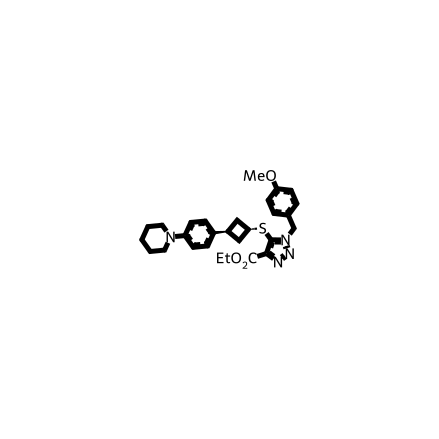 CCOC(=O)c1nnn(Cc2ccc(OC)cc2)c1S[C@H]1C[C@H](c2ccc(N3CCCCC3)cc2)C1